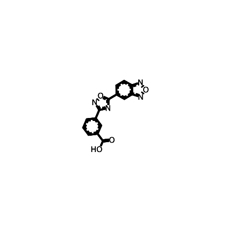 O=C(O)c1cccc(-c2noc(-c3ccc4nonc4c3)n2)c1